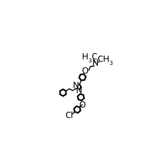 CCN(CC)CCCOc1ccc(-c2cn(-c3ccc(Oc4ccc(Cl)cc4)cc3)c(CCc3ccccc3)n2)cc1